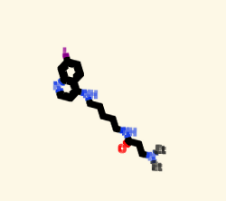 CCN(CC)CCC(=O)NCCCCCNc1ccnc2cc(I)ccc12